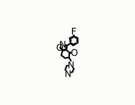 CN1CCN(CC2CCc3onc(-c4cccc(F)c4)c3C2=O)CC1